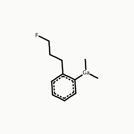 [CH3][Ga]([CH3])[c]1ccccc1CCCF